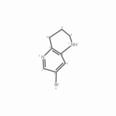 Brc1cnc2c(c1)NCCC2